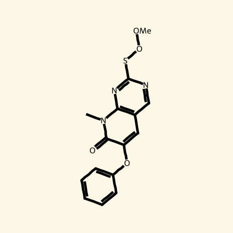 COOSc1ncc2cc(Oc3ccccc3)c(=O)n(C)c2n1